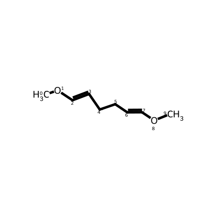 COC=C[CH]CC=COC